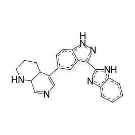 C1=NC=C(c2ccc3[nH]nc(-c4nc5ccccc5[nH]4)c3c2)C2CCCNC12